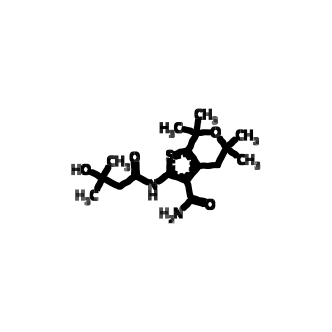 CC(C)(O)CC(=O)Nc1sc2c(c1C(N)=O)CC(C)(C)OC2(C)C